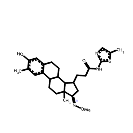 CO/N=C1\CC(CCC(=O)Nc2ncc(C)s2)C2C3CCc4cc(O)c(C)cc4C3CCC12C